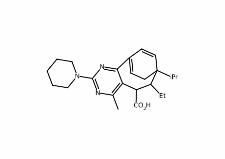 CCC1C(C(=O)O)c2c(C)nc(N3CCCCC3)nc2C2=CCC1(C(C)C)C=C2